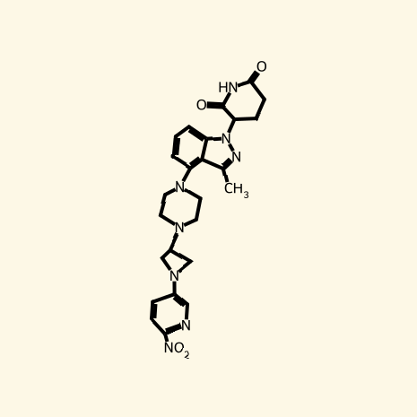 Cc1nn(C2CCC(=O)NC2=O)c2cccc(N3CCN(C4CN(c5ccc([N+](=O)[O-])nc5)C4)CC3)c12